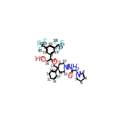 O=C(CN1CCCC1)NN1CCC(COC(CO)c2cc(C(F)(F)F)cc(C(F)(F)F)c2)(c2ccccc2)CC1